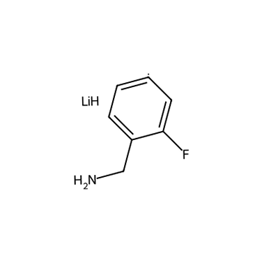 NCc1cc[c]cc1F.[LiH]